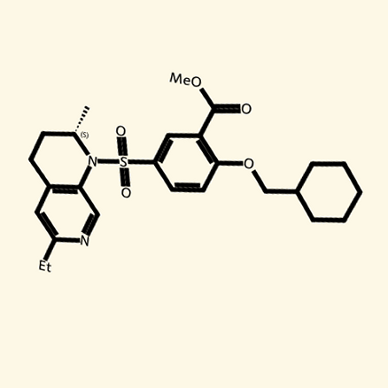 CCc1cc2c(cn1)N(S(=O)(=O)c1ccc(OCC3CCCCC3)c(C(=O)OC)c1)[C@@H](C)CC2